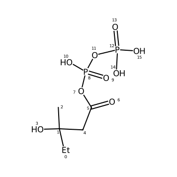 CCC(C)(O)CC(=O)OP(=O)(O)OP(=O)(O)O